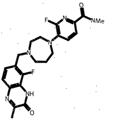 CNC(=O)c1ccc(N2CCCN(Cc3ccc4nc(C)c(=O)[nH]c4c3F)CC2)c(F)n1